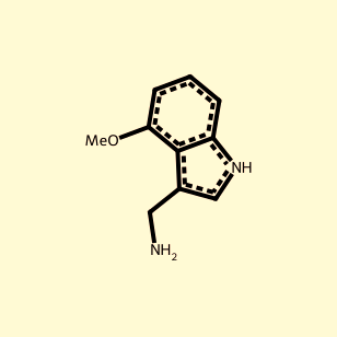 COc1cccc2[nH]cc(CN)c12